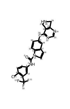 O=C(Nc1ccc(Cl)c(C(F)(F)F)c1)n1ccc2cc(Oc3ncnc4c3CNC4)ccc21